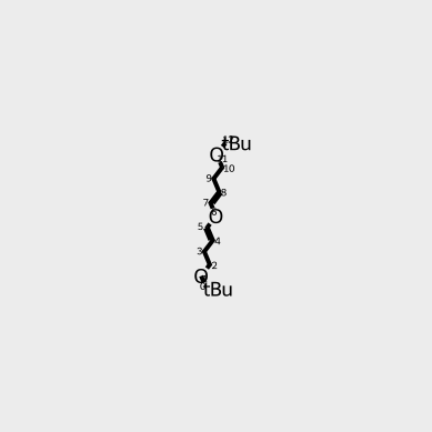 CC(C)(C)OCCC=COC=CCCOC(C)(C)C